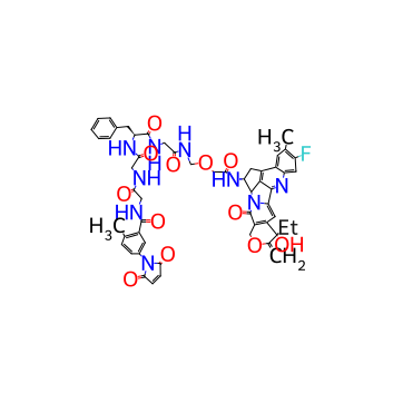 C=C1OCc2c(cc3n(c2=O)C2c4c-3nc3cc(F)c(C)cc3c4C[C@@H]2NC(=O)COCNC(=O)CNC(=O)[C@H](Cc2ccccc2)NC(=O)CNC(=O)CNC(=O)c2cc(N3C(=O)C=CC3=O)ccc2C)[C@@]1(O)CC